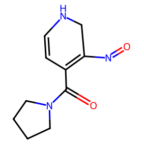 O=NC1=C(C(=O)N2CCCC2)C=CNC1